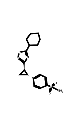 NS(=O)(=O)c1ccc([C@@H]2C[C@H]2c2nsc(C3CCCCC3)n2)cc1